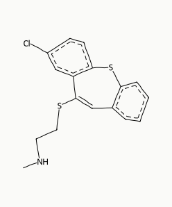 CNCCSC1=Cc2ccccc2Sc2ccc(Cl)cc21